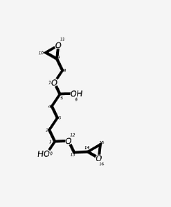 OC(CCCC(O)OCC1CO1)OCC1CO1